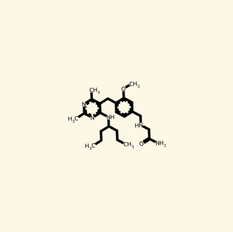 CCCC(CCC)Nc1nc(C)nc(C)c1Cc1ccc(CNCC(N)=O)cc1OC